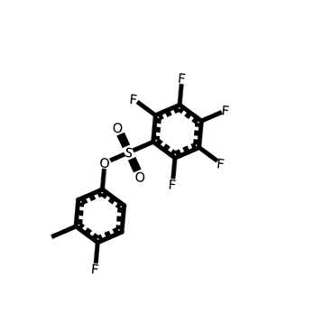 Cc1cc(OS(=O)(=O)c2c(F)c(F)c(F)c(F)c2F)ccc1F